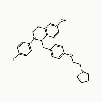 Oc1ccc2c(c1)CCN(c1ccc(F)cc1)C2Cc1ccc(OCCN2CCCC2)cc1